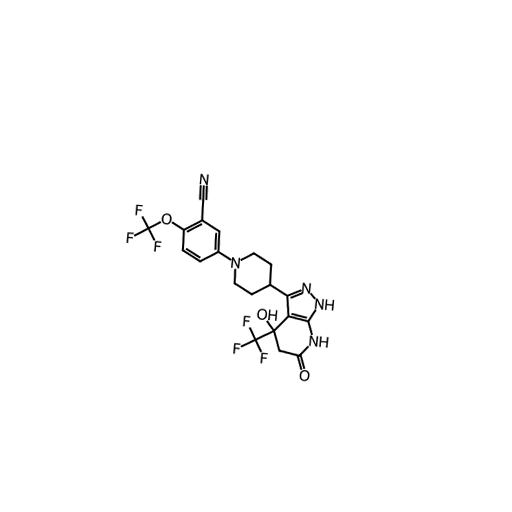 N#Cc1cc(N2CCC(c3n[nH]c4c3C(O)(C(F)(F)F)CC(=O)N4)CC2)ccc1OC(F)(F)F